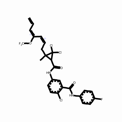 C=C/C=C(\C=C/CC1(C)C(C(=O)Nc2ccc(Cl)c(C(=O)Nc3ccc(F)cc3)c2)C1(Cl)Cl)OC(F)(F)F